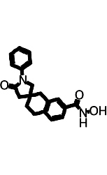 O=C(NO)c1ccc2c(c1)CC1(CC2)CC(=O)N(c2ccccc2)C1